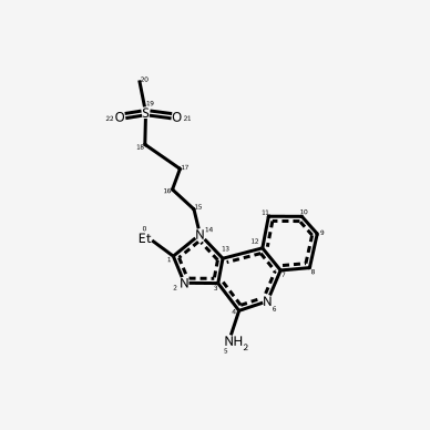 CCc1nc2c(N)nc3ccccc3c2n1CCCCS(C)(=O)=O